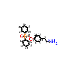 NCCc1ccc(OCP(=O)(c2ccccc2)c2ccccc2)cc1